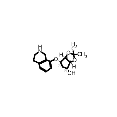 CC1(C)O[C@@H]2[C@H](O1)[C@@H](Oc1cccc3c1CNCC3)C[C@H]2O